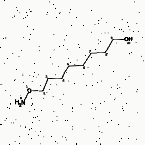 NOCCCCCCCCO